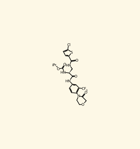 CC(C)OC(=O)N[C@@H](CNC(=O)c1ccc(Cl)s1)C(=O)Nc1ccc(N2CCOCC2=O)c(C(F)(F)F)c1